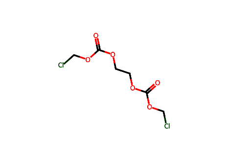 O=C(OCCl)OCCOC(=O)OCCl